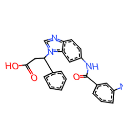 Nc1cccc(C(=O)Nc2ccc3ncn(C(CC(=O)O)c4ccccc4)c3c2)c1